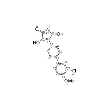 COc1ccc(-c2ccc(C3=C(O)C(=O)NC3=O)cc2)cc1Cl